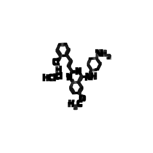 COc1ccc2nc(/C=C/c3ccccc3Cl)nc(NC3CCC(N)CC3)c2c1.Cl.Cl